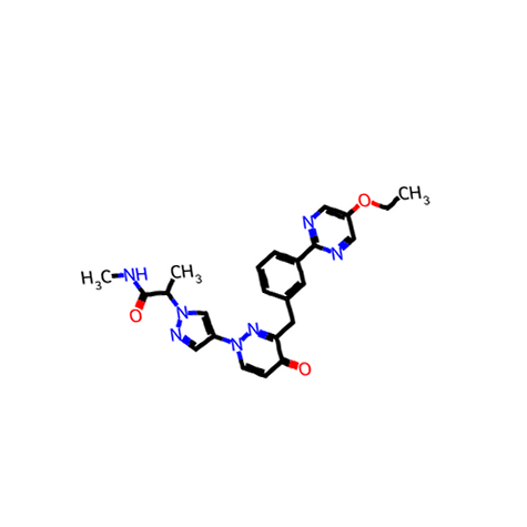 CCOc1cnc(-c2cccc(Cc3nn(-c4cnn(C(C)C(=O)NC)c4)ccc3=O)c2)nc1